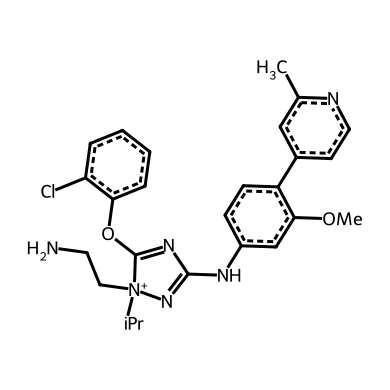 COc1cc(NC2=N[N+](CCN)(C(C)C)C(Oc3ccccc3Cl)=N2)ccc1-c1ccnc(C)c1